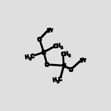 CC(C)O[Si](C)(C)O[Si](C)(C)OC(C)C